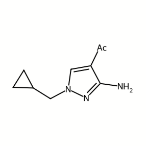 CC(=O)c1cn(CC2CC2)nc1N